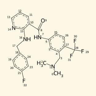 CN(C)Cc1cc(NC(=O)c2cccnc2NCc2ccc(F)cc2)ccc1C(F)(F)F